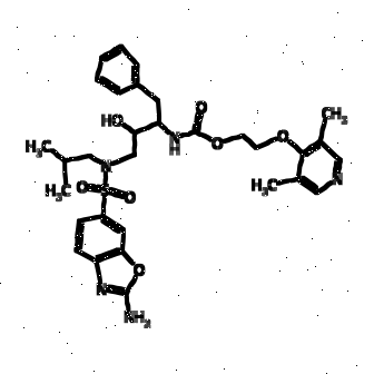 Cc1cncc(C)c1OCCOC(=O)NC(Cc1ccccc1)C(O)CN(CC(C)C)S(=O)(=O)c1ccc2nc(N)oc2c1